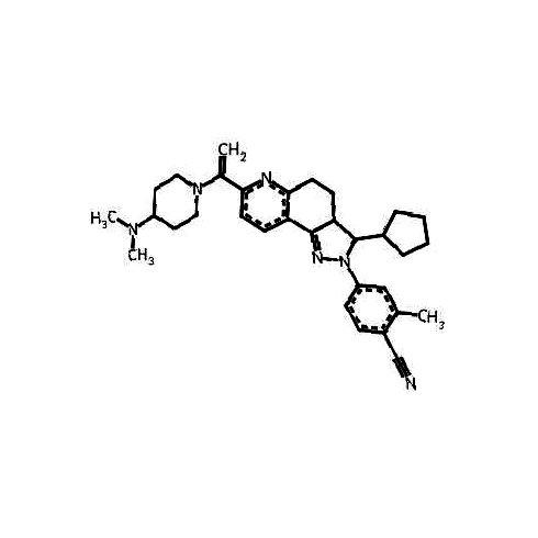 C=C(c1ccc2c(n1)CCC1C2=NN(c2ccc(C#N)c(C)c2)C1C1CCCC1)N1CCC(N(C)C)CC1